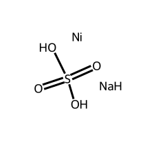 O=S(=O)(O)O.[NaH].[Ni]